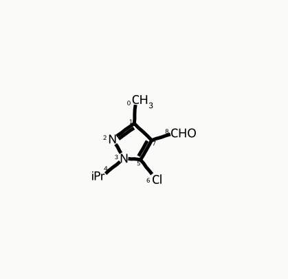 Cc1nn(C(C)C)c(Cl)c1C=O